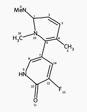 CNC1C=CC(C)=C(c2c[nH]c(=O)c(F)c2)N1C